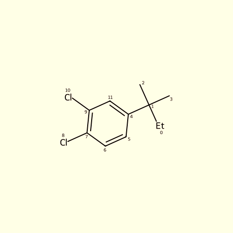 CCC(C)(C)c1ccc(Cl)c(Cl)c1